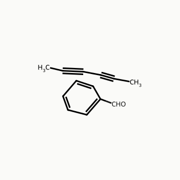 CC#CC#CC.O=Cc1ccccc1